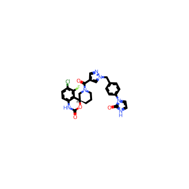 O=C1Nc2ccc(Cl)c(F)c2[C@@]2(CCCN(C(=O)c3cnn(Cc4ccc(-n5cc[nH]c5=O)cc4)c3)C2)O1